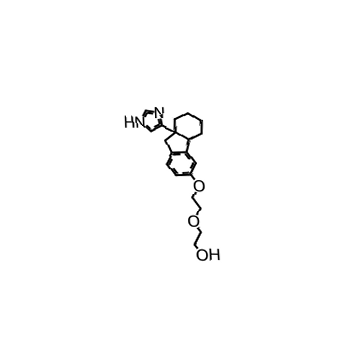 OCCOCCOc1ccc2c(c1)C1CCCCC1(c1c[nH]cn1)C2